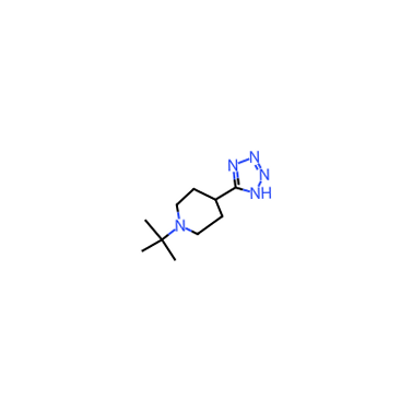 CC(C)(C)N1CCC(c2nnn[nH]2)CC1